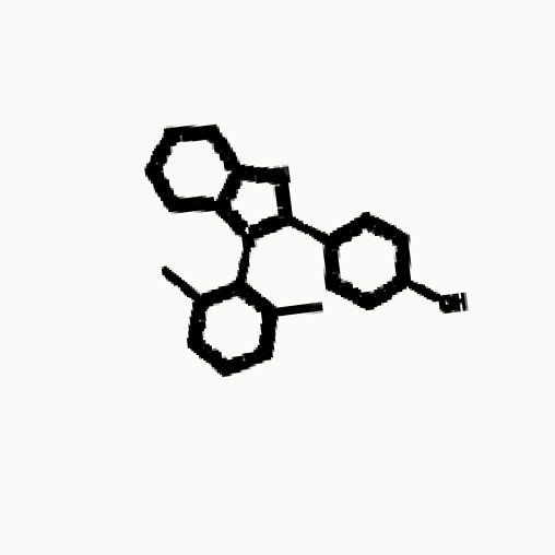 Cc1cccc(C)c1-n1c(-c2ccc(O)cc2)nc2ccccc21